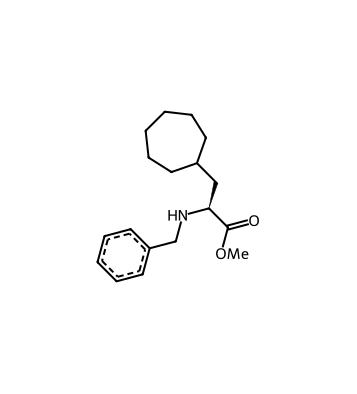 COC(=O)[C@H](CC1CCCCCC1)NCc1ccccc1